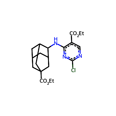 CCOC(=O)c1cnc(Cl)nc1NC1C2CC3CC1CC(C(=O)OCC)(C3)C2